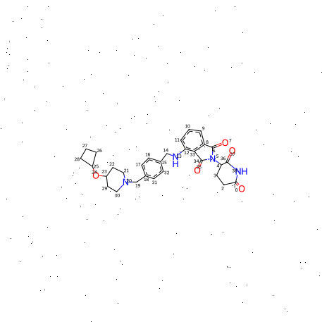 O=C1CCC(N2C(=O)c3cccc(NCc4ccc(CN5CCC(OC6CCC6)CC5)cc4)c3C2=O)C(=O)N1